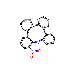 O=[N+]([O-])c1cccc2c1[nH]c1ccccc1c1ccccc1c1ccccc21